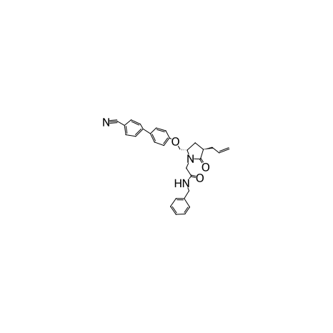 C=CC[C@@H]1C[C@@H](COc2ccc(-c3ccc(C#N)cc3)cc2)N(CC(=O)NCc2ccccc2)C1=O